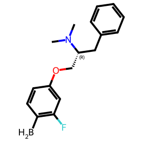 Bc1ccc(OC[C@@H](Cc2ccccc2)N(C)C)cc1F